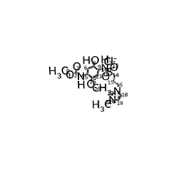 COC(=O)Nc1cc(O)c(NS(=O)(=O)CCCn2cc[n+](C)c2)cc1OC.[Cl-]